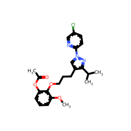 COc1cccc(OC(C)=O)c1OCCCc1cn(-c2ccc(Cl)cn2)nc1C(C)C